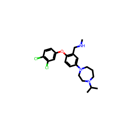 CNCc1cc(N2CCCN(C(C)C)CC2)ccc1Oc1ccc(Cl)c(Cl)c1